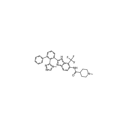 CN1CCC(C(=O)Nc2ccc3nc(-c4cccc(-c5ccccc5)c4-c4nncn4C)[nH]c3c2C(F)(F)F)CC1